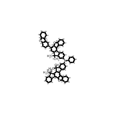 CC1(C)c2cc(N(c3ccccc3)c3ccc4c(c3)C(C)(C)c3c5c(c6oc7ccccc7c6c3-4)-c3ccccc3C5(C)C)ccc2-c2c1cc(-c1ccc3oc4ccccc4c3c1)c1oc3ccccc3c21